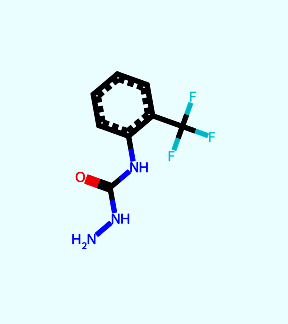 NNC(=O)Nc1ccccc1C(F)(F)F